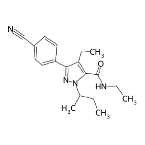 CCNC(=O)c1c(CC)c(-c2ccc(C#N)cc2)nn1C(C)CC